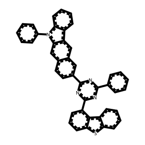 c1ccc(-c2nc(-c3ccc4cc5c(cc4c3)c3ccccc3n5-c3ccccc3)nc(-c3cccc4sc5ccccc5c34)n2)cc1